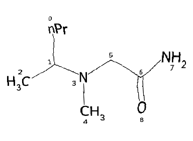 CCCC(C)N(C)CC(N)=O